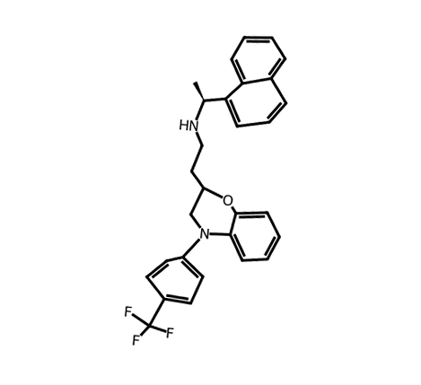 C[C@H](NCCC1CN(c2ccc(C(F)(F)F)cc2)c2ccccc2O1)c1cccc2ccccc12